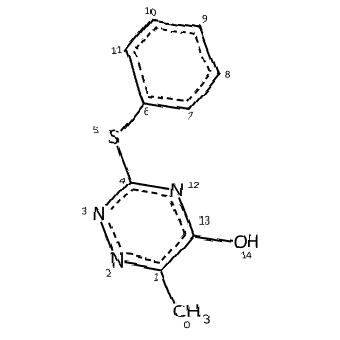 Cc1nnc(Sc2ccccc2)nc1O